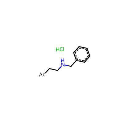 CC(=O)CCNCc1ccccc1.Cl